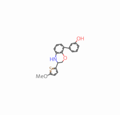 COc1ccc(C2COc3c(cccc3-c3cccc(O)c3)N2)s1